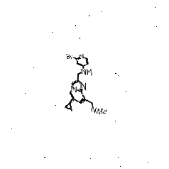 CNCc1cc(C2CC2)cn2cc(CNc3ccnc(Br)c3)nc12